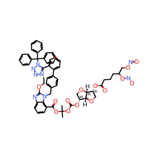 CCOc1nc2cccc(C(=O)OC(C)(C)OC(=O)O[C@@H]3CO[C@H]4[C@@H]3OC[C@H]4OC(=O)CCCC(CON=O)ON=O)c2n1Cc1ccc(-c2ccccc2-c2nnnn2C(c2ccccc2)(c2ccccc2)c2ccccc2)cc1